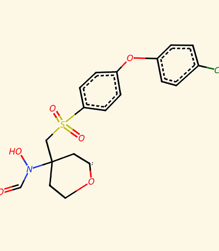 O=CN(O)C1(CS(=O)(=O)c2ccc(Oc3ccc(Cl)cc3)cc2)C[C]OCC1